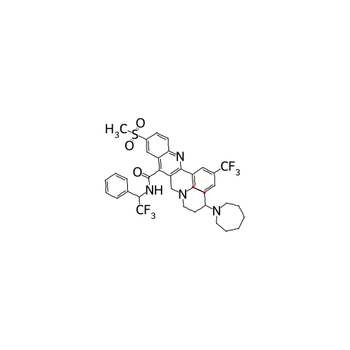 CS(=O)(=O)c1ccc2nc(-c3cccc(C(F)(F)F)c3)c(CN3CCC(N4CCCCCC4)CC3)c(C(=O)NC(c3ccccc3)C(F)(F)F)c2c1